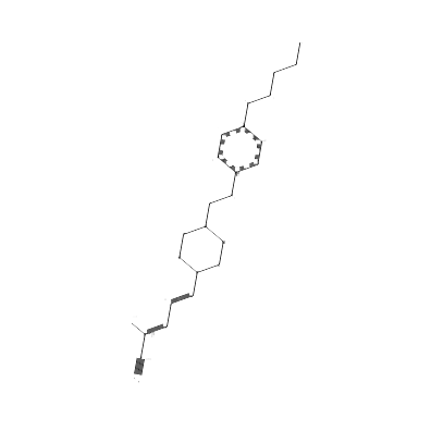 CCCCCc1ccc(CCC2CCC(C=CC=C(F)C#N)CC2)cc1